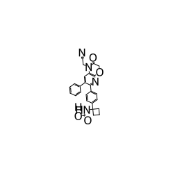 N#CCN1C(=O)COc2nc(-c3ccc(C4(NC(=O)O)CCC4)cc3)c(-c3ccccc3)cc21